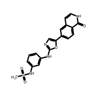 CS(=O)(=O)Nc1cccc(Nc2ncc(-c3ccc4c(=O)[nH]ccc4c3)o2)c1